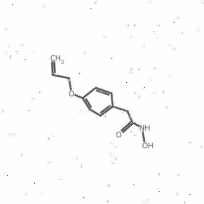 C=CCOc1ccc(CC(=O)NO)cc1